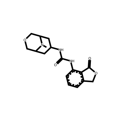 CN1C2COCC1CC(NC(=O)Nc1cccc3c1C(=O)OC3)C2